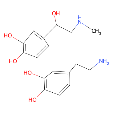 CNCC(O)c1ccc(O)c(O)c1.NCCc1ccc(O)c(O)c1